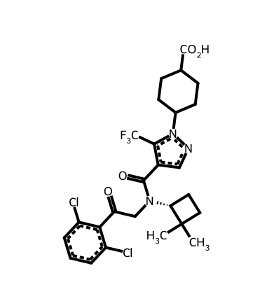 CC1(C)CC[C@H]1N(CC(=O)c1c(Cl)cccc1Cl)C(=O)c1cnn(C2CCC(C(=O)O)CC2)c1C(F)(F)F